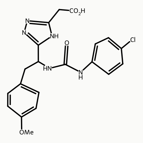 COc1ccc(CC(NC(=O)Nc2ccc(Cl)cc2)c2nnc(CC(=O)O)[nH]2)cc1